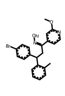 COc1cc(C(CC(c2ccc(Br)cc2)c2ccccc2C)=NO)ccn1